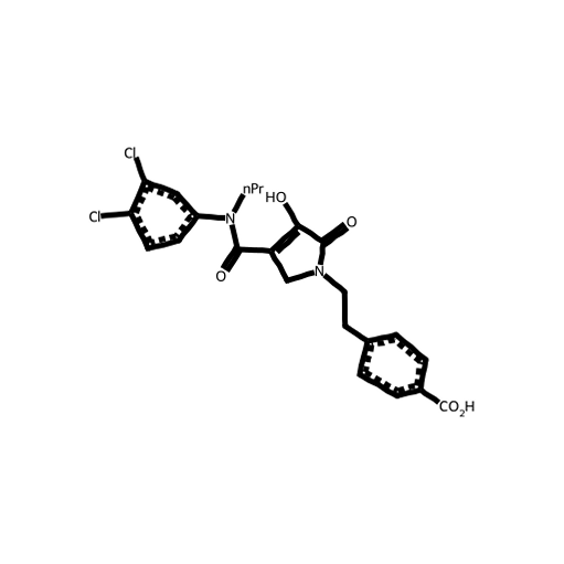 CCCN(C(=O)C1=C(O)C(=O)N(CCc2ccc(C(=O)O)cc2)C1)c1ccc(Cl)c(Cl)c1